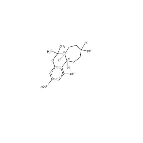 CCCCCCCCc1cc(O)c2c(c1)OC(C)(C)[C@H]1CCC(O)(CC)CC[C@@H]21